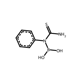 NC(=S)N(B(O)O)c1ccccc1